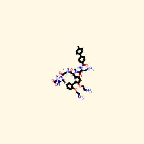 Cc1ccc(-c2ccc(C(=O)N[C@@H](CN)C(=O)N(C)[C@@H]3C(=O)N[C@@H](C)C(=O)N[C@H](c4noc(=O)[nH]4)Cc4ccc(OCCN)c(c4)-c4cc3ccc4OCCN)cc2)cc1